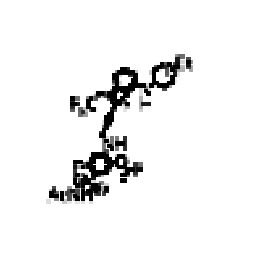 CCN1CCC(Nc2cccc3c(CC(F)(F)F)c(C#CCNc4cc(F)c(S(=O)(=O)NC(C)=O)cc4OC(F)F)sc23)CC1